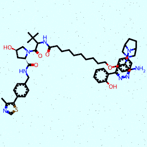 Cc1ncsc1-c1ccc(CNC(=O)[C@@H]2C[C@@H](O)CN2C(=O)C(NC(=O)CCCCCCCCCOc2cccc(N3C4CCC3CN(c3cc(-c5ccccc5O)nnc3N)C4)c2)C(C)(C)C)cc1